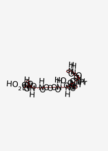 CC[C@H](NC(=O)[C@@H]1C[C@@H](NC(=O)CCCCCNC(=O)CCOCCOCCOCCC(=O)NCCCCCC(=O)N[C@@H]2C[C@@H](C(=O)N[C@@H](CCNC(=O)[C@H](CC(C)C)N(C)C(=O)Cc3ccc(NC(=O)Nc4ccccc4C)cc3)C(=O)O)N(S(=O)(=O)c3ccccc3)C2)CN1S(=O)(=O)c1ccccc1)C(=O)O